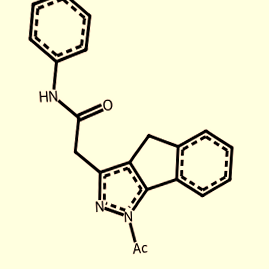 CC(=O)n1nc(CC(=O)Nc2ccccc2)c2c1-c1ccccc1C2